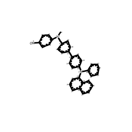 CN(c1ccc(N=O)cc1)c1ccc(-c2ccc(N(c3ccccc3)c3cccc4ccccc34)cc2)cc1